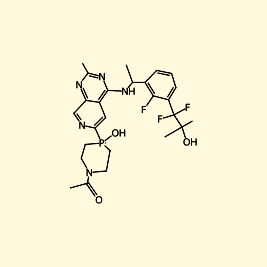 CC(=O)N1CC[P](O)(c2cc3c(NC(C)c4cccc(C(F)(F)C(C)(C)O)c4F)nc(C)nc3cn2)CC1